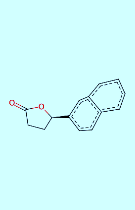 O=C1CC[C@H](c2ccc3ccccc3c2)O1